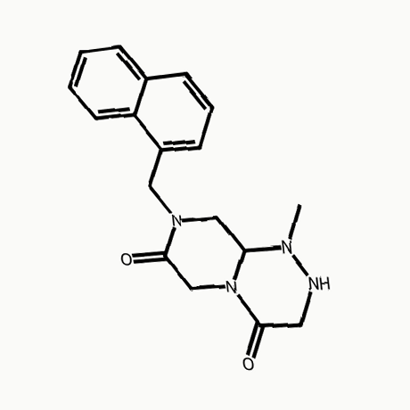 CN1NCC(=O)N2CC(=O)N(Cc3cccc4ccccc34)CC12